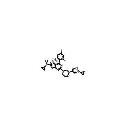 CN(c1nc2nc(C3CCOC(c4cnn(C5CC5)c4)C3)nc(-c3ccc(F)cc3F)c2n1C)C1CC1